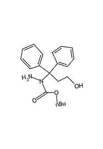 CCCCOC(=O)N(N)C(CCO)(c1ccccc1)c1ccccc1